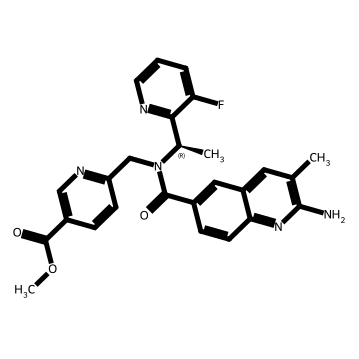 COC(=O)c1ccc(CN(C(=O)c2ccc3nc(N)c(C)cc3c2)[C@H](C)c2ncccc2F)nc1